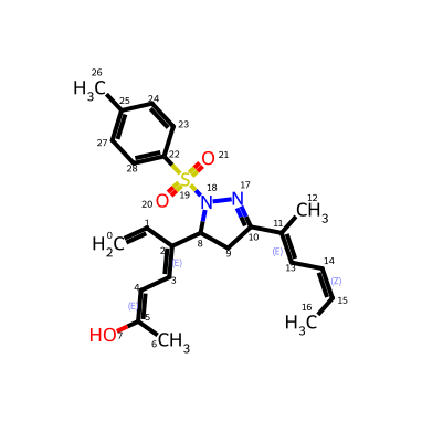 C=C/C(=C\C=C(/C)O)C1CC(/C(C)=C/C=C\C)=NN1S(=O)(=O)c1ccc(C)cc1